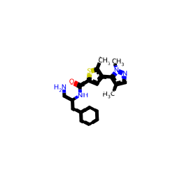 Cc1cnn(C)c1-c1cc(C(=O)NC(CN)CC2CCCCC2)sc1C